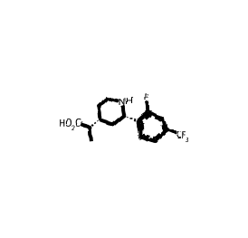 CC(C(=O)O)[C@@H]1CCN[C@H](c2ccc(C(F)(F)F)cc2F)C1